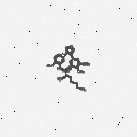 COc1ccc(-c2conc2-c2cc(OC)c(OC)c(OC)c2)cc1NC(=O)C(N)CCCCN